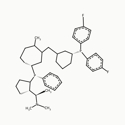 CC1CCC[C@@H]([P@](c2ccccc2)C2CCC[C@H]2[C@@H](C)N(C)C)CC1CC1CCC[C@@H](P(c2ccc(F)cc2)c2ccc(F)cc2)C1